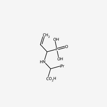 C=CC(NC(C(=O)O)C(C)C)P(=O)(O)O